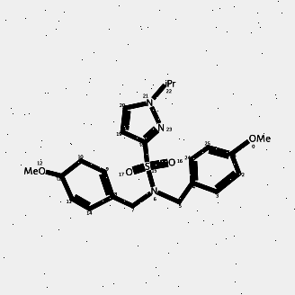 COc1ccc(CN(CC2=CCC(OC)C=C2)S(=O)(=O)c2ccn(C(C)C)n2)cc1